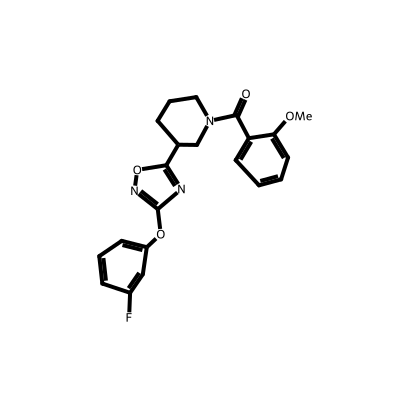 COc1ccccc1C(=O)N1CCCC(c2nc(Oc3cccc(F)c3)no2)C1